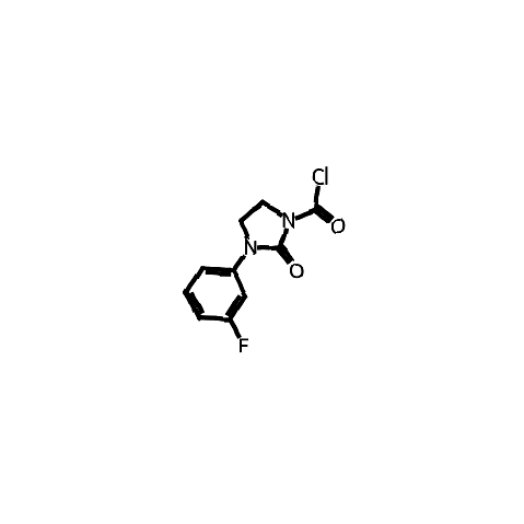 O=C(Cl)N1CCN(c2cccc(F)c2)C1=O